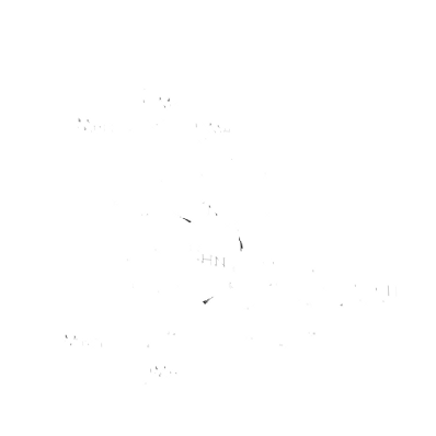 COc1ccc(CC[C@@H](NC(=O)[C@@H]2CCCCN2C(=O)[C@H](c2cc(OC)c(OC)c(OC)c2)[C@H]2C=CCCC2)c2cccc(OCC(=O)O)c2)cc1OC